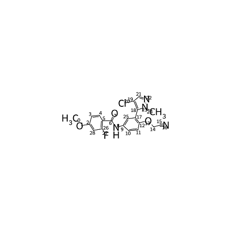 COc1ccc(C(=O)Nc2ccc(OCC#N)c(-c3c(Cl)cnn3C)c2)c(F)c1